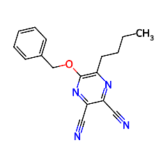 CCCCc1nc(C#N)c(C#N)nc1OCc1ccccc1